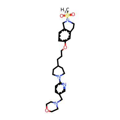 CS(=O)(=O)N1CCc2cc(OCCCC3CCN(c4ccc(CN5CCOCC5)cn4)CC3)ccc2C1